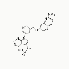 CNc1ccc2ccc(OCc3cncc(-n4cc(C(C)C5CC5)c5c(N)ncnc54)c3)cc2n1